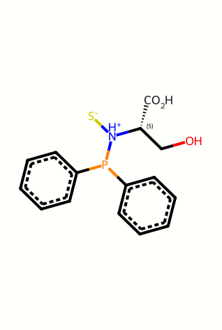 O=C(O)[C@H](CO)[NH+]([S-])P(c1ccccc1)c1ccccc1